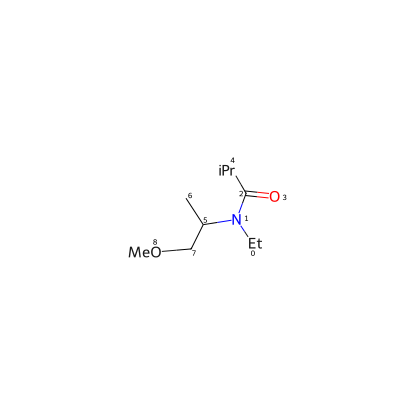 CCN(C(=O)C(C)C)C(C)COC